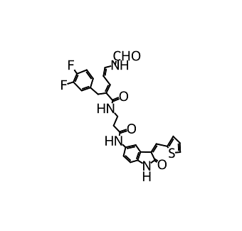 O=CN/C=C\C=C(/Cc1ccc(F)c(F)c1)C(=O)NCCC(=O)Nc1ccc2c(c1)/C(=C/c1cccs1)C(=O)N2